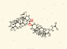 C=C(C)[C@@H]1CC[C@]2(C(=O)O[C@H]3CC[C@@]4(C)C(=CC[C@H]5[C@@H]6CC[C@H]([C@H](C)CCCC(C)C)[C@@]6(C)CC[C@@H]54)C3)CC[C@]3(C)[C@H](CC[C@@H]4[C@@]5(C)CCCC(C)(C)C5CC[C@]43C)C12